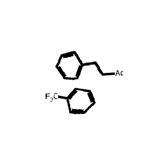 CC(=O)CCc1ccccc1.FC(F)(F)c1ccccc1